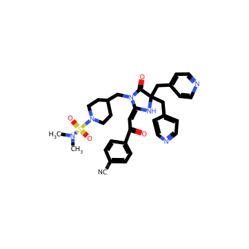 CN(C)S(=O)(=O)N1CCC(CN2C(=O)C(Cc3ccncc3)(Cc3ccncc3)NC2=CC(=O)c2ccc(C#N)cc2)CC1